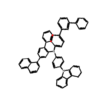 C1=Cc2c(c3ccccc3n2-c2ccc(N(c3ccc(-c4cccc(-c5ccccc5)c4)cc3)c3cc(-c4cccc5ccccc45)ccc3-c3ccccc3)cc2)CC1